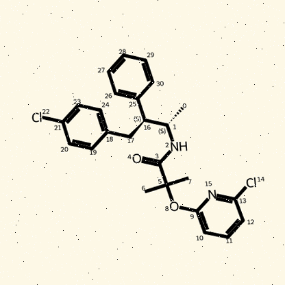 C[C@H](NC(=O)C(C)(C)Oc1cccc(Cl)n1)[C@@H](Cc1ccc(Cl)cc1)c1ccccc1